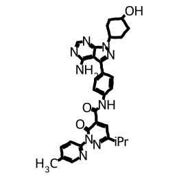 Cc1ccc(-n2nc(C(C)C)cc(C(=O)Nc3ccc(-c4nn(C5CCC(O)CC5)c5ncnc(N)c45)cc3)c2=O)nc1